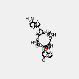 Nc1ccnn2c([C@H]3C[C@@H]4O[P@](=O)(S)OC[C@H]5O[C@@H](n6ccc(=O)n7ccnc67)[C@H](O[P@@](=O)(S)OC[C@H]4O3)[C@@H]5O)cnc12